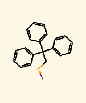 IPCC(c1ccccc1)(c1ccccc1)c1ccccc1